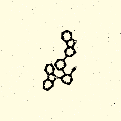 N#Cc1cccc(-n2c3ccccc3c3ccccc32)c1-c1cccc(-c2ccc3oc4ccccc4c3c2)c1